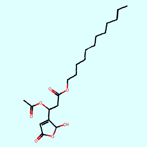 CCCCCCCCCCCCOC(=O)CC(OC(C)=O)C1=CC(=O)OC1O